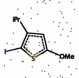 COc1cc(C(C)C)c(I)s1